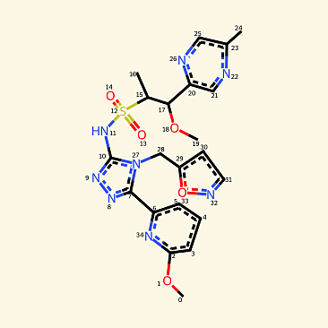 COc1cccc(-c2nnc(NS(=O)(=O)C(C)C(OC)c3cnc(C)cn3)n2Cc2ccno2)n1